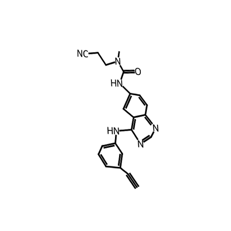 C#Cc1cccc(Nc2ncnc3ccc(NC(=O)N(C)CCC#N)cc23)c1